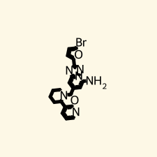 Nc1cc(C(=O)N2CCCCC2c2cccnc2)cc2nc(-c3ccc(Br)o3)nn12